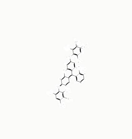 Cc1cc(C)c(/N=c2\ccc3c(-c4ccccc4S(=O)(=O)O)c4ccc(Nc5c(C)cc(C)c(N)c5C)cc4oc-3c2)c(C)c1N